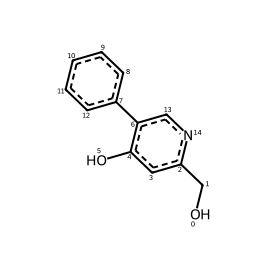 OCc1cc(O)c(-c2ccccc2)cn1